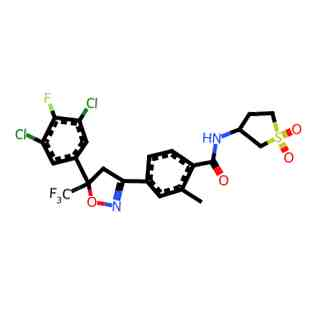 Cc1cc(C2=NOC(c3cc(Cl)c(F)c(Cl)c3)(C(F)(F)F)C2)ccc1C(=O)NC1CCS(=O)(=O)C1